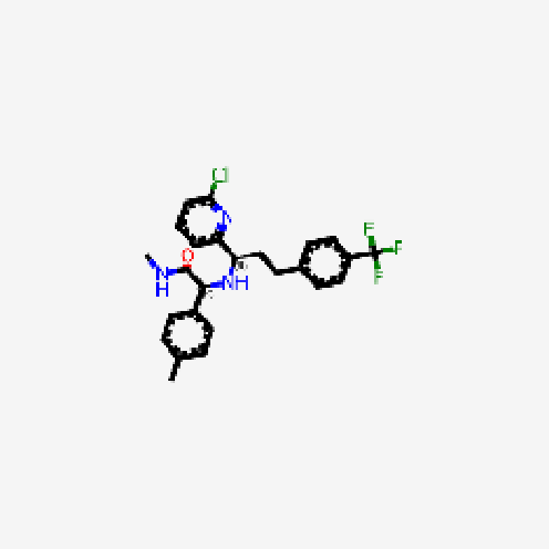 CNC(=O)[C@@H](N[C@H](CCc1ccc(C(F)(F)F)cc1)c1cccc(Cl)n1)c1ccc(C)cc1